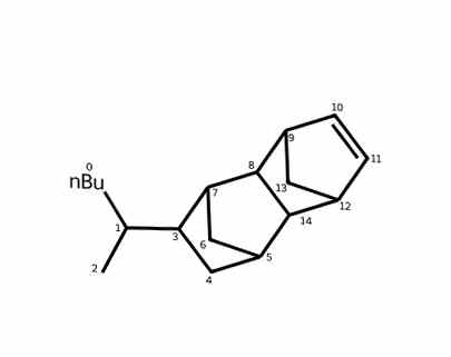 CCCCC(C)C1CC2CC1C1C3C=CC(C3)C21